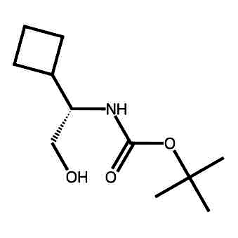 CC(C)(C)OC(=O)N[C@H](CO)C1CCC1